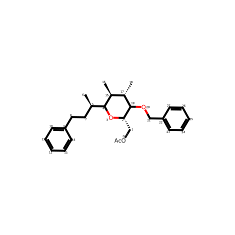 CC(=O)OC[C@@H]1OC([C@H](C)CCc2ccccc2)[C@@H](C)[C@H](C)C1OCc1ccccc1